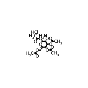 CC(=O)OC[C@H]1O[C@H](OC(C)=O)[C@H](ON)[C@@H](OC(C)=O)[C@@H]1OC(C)=O.Cl